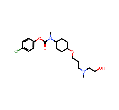 CN(CCO)CCCOC1CCC(N(C)C(=O)Oc2ccc(Cl)cc2)CC1